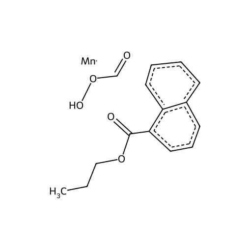 CCCOC(=O)c1cccc2ccccc12.O=COO.[Mn]